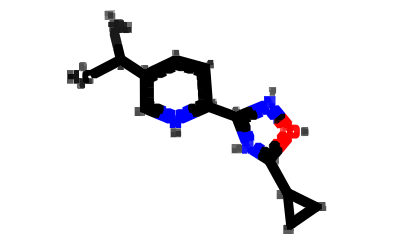 CC(c1ccc(-c2noc(C3CC3)n2)nc1)C(C)(C)C